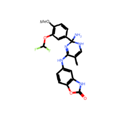 COc1ccc(C2(N)N=C(Nc3ccc4oc(=O)[nH]c4c3)C(C)=CN2)cc1OC(F)F